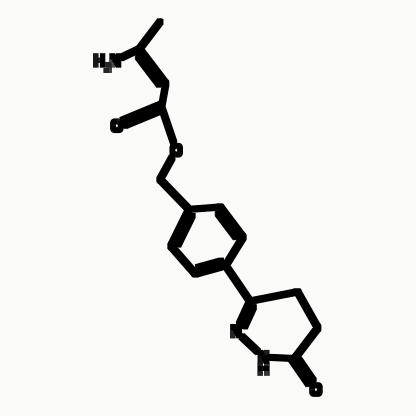 C/C(N)=C/C(=O)OCc1ccc(C2=NNC(=O)CC2)cc1